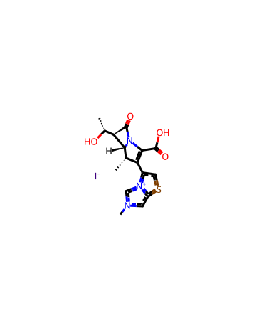 C[C@@H](O)[C@H]1C(=O)N2C(C(=O)O)=C(c3csc4cn(C)c[n+]34)[C@H](C)[C@H]12.[I-]